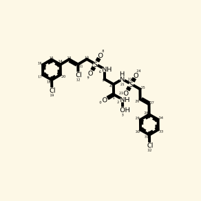 O=C(NO)C(CNS(=O)(=O)CC(Cl)=Cc1cccc(Cl)c1)NS(=O)(=O)CC=Cc1ccc(Cl)cc1